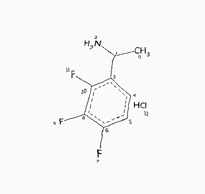 CC(N)c1ccc(F)c(F)c1F.Cl